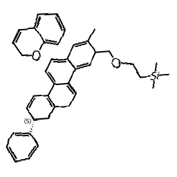 C1=Cc2ccccc2OC1.CC1=Cc2ccc3c(c2=CC1COCC[Si](C)(C)C)=CCC1=C3C=C[C@@H](c2ccccc2)C1